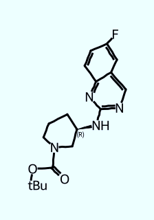 CC(C)(C)OC(=O)N1CCC[C@@H](Nc2ncc3cc(F)ccc3n2)C1